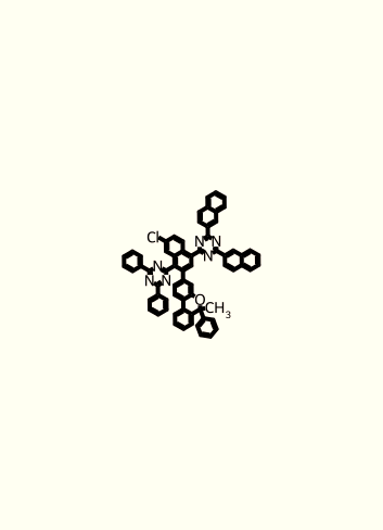 CC1(c2ccccc2)Oc2cc(-c3cc(-c4nc(-c5ccc6ccccc6c5)nc(-c5ccc6ccccc6c5)n4)c4ccc(Cl)cc4c3-c3nc(-c4ccccc4)nc(-c4ccccc4)n3)ccc2-c2ccccc21